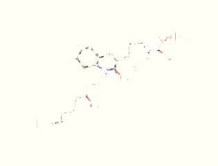 C=CCCCC(=O)OCn1c(=O)c(C2CCN(C(=O)OC(C)(C)C)CC2)cc2ccccc21